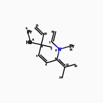 C=CN(C(/C=C\C(C)(BC(C)C)C=C)=C(C)C)C(C)C